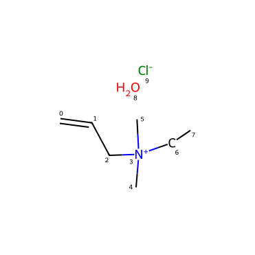 C=CC[N+](C)(C)CC.O.[Cl-]